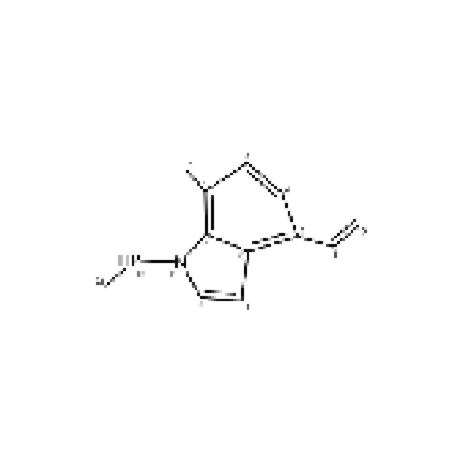 C=Cc1ccc(C)c2c1ccn2PC